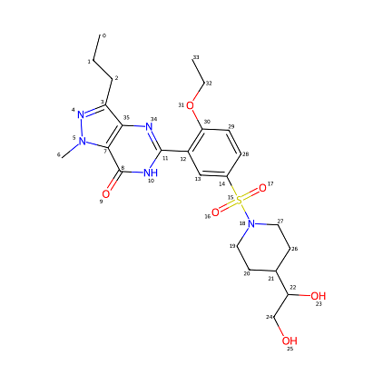 CCCc1nn(C)c2c(=O)[nH]c(-c3cc(S(=O)(=O)N4CCC(C(O)CO)CC4)ccc3OCC)nc12